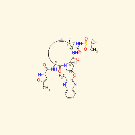 Cc1cc(C(=O)N[C@H]2CCCCC/C=C\[C@@H]3C[C@@]3(C(=O)NS(=O)(=O)C3(C)CC3)NC(=O)[C@@H]3C[C@@H](Oc4nc5ccccc5nc4C(F)(F)F)CN3C2=O)no1